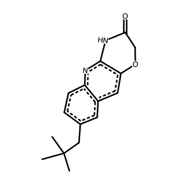 CC(C)(C)Cc1ccc2nc3c(cc2c1)OCC(=O)N3